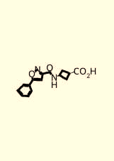 O=C(N[C@H]1C[C@@H](C(=O)O)C1)c1cc(-c2ccccc2)on1